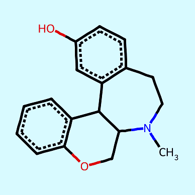 CN1CCc2ccc(O)cc2C2c3ccccc3OCC21